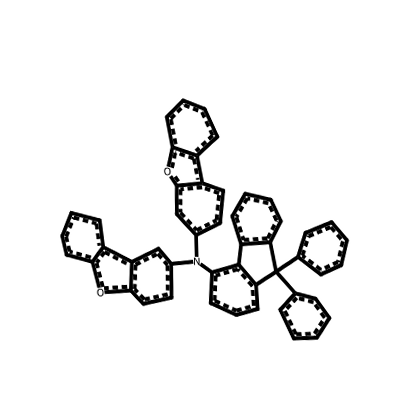 c1ccc(C2(c3ccccc3)c3ccccc3-c3c(N(c4ccc5c(c4)oc4ccccc45)c4ccc5oc6ccccc6c5c4)cccc32)cc1